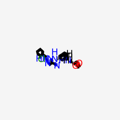 CC1(C)OC[C@H](CCN[C@@H]2[C@@H]3CC4C[C@H]2C[C@](CNc2nc(NCc5ccccc5Cl)ncc2C#N)(C4)C3)O1